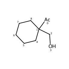 CC(=O)C1(CO)CCCCC1